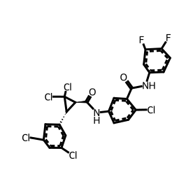 O=C(Nc1ccc(F)c(F)c1)c1cc(NC(=O)[C@H]2[C@H](c3cc(Cl)cc(Cl)c3)C2(Cl)Cl)ccc1Cl